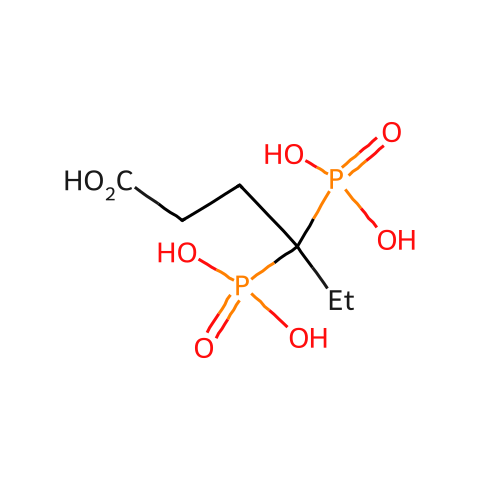 CCC(CCC(=O)O)(P(=O)(O)O)P(=O)(O)O